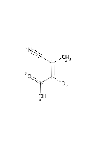 CC(C#N)=C([O])C(=O)O